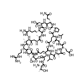 CC(C)C[C@H](NC(=O)[C@H](CCC(N)=O)NC(=O)CNC(=O)[C@@H](N)[C@@H](C)O)C(=O)N[C@@H](C)C(=O)N[C@@H](CCC(=O)O)C(=O)N[C@@H](CC(C)C)C(=O)N[C@@H](CCC(N)=O)C(=O)N1CCC[C@H]1C(=O)N[C@@H](CCC(N)=O)C(=O)N[C@@H](CC(=O)O)C(=O)N[C@@H](CCCNC(=N)N)C(=O)N[C@@H](C)C(=O)NCC(=O)N[C@@H](C)C(=O)N[C@@H](CCCNC(=N)N)C(=O)N[C@@H](C)C(=O)N[C@@H](CO)C(=O)O